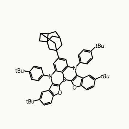 CC(C)(C)c1ccc(N2c3cc(C45CC6CC7C(C4)CC7(C6)C5)cc4c3B(c3oc5ccc(C(C)(C)C)cc5c32)c2oc3ccc(C(C)(C)C)cc3c2N4c2ccc(C(C)(C)C)cc2)cc1